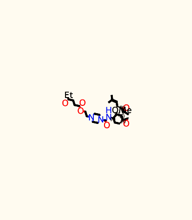 CCC(=O)CCC(=O)OCCN1CCN(C(=O)N[C@@H]2CC[C@]3(CO3)[C@@H](C3(C)O[C@@H]3CC=C(C)C)[C@@H]2OC)CC1